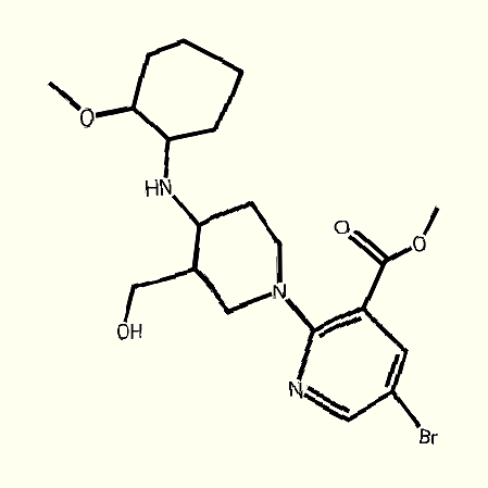 COC(=O)c1cc(Br)cnc1N1CCC(NC2CCCCC2OC)C(CO)C1